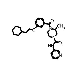 CC1CN(C(=O)Nc2cccnc2)CCN1C(=O)c1cccc(OCCC2CCCCC2)c1